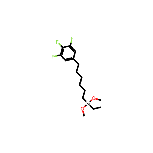 CC[Si](CCCCCCc1cc(F)c(F)c(F)c1)(OC)OC